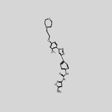 CC(C)(C)c1cc(NC(=O)Nc2ccc(-c3cn(-c4ccc(OCCN5CCOCC5)cc4C(F)(F)F)nn3)cc2)no1